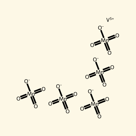 [O]=[Mn](=[O])(=[O])[O-].[O]=[Mn](=[O])(=[O])[O-].[O]=[Mn](=[O])(=[O])[O-].[O]=[Mn](=[O])(=[O])[O-].[O]=[Mn](=[O])(=[O])[O-].[V+5]